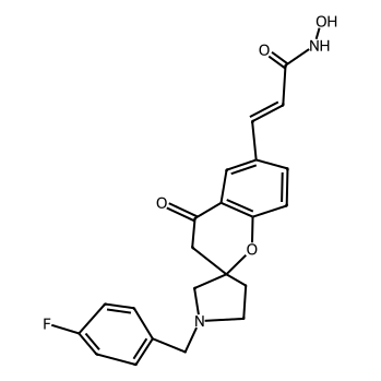 O=C(C=Cc1ccc2c(c1)C(=O)CC1(CCN(Cc3ccc(F)cc3)C1)O2)NO